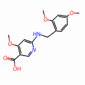 COc1ccc(CNc2cc(OC)c(C(=O)O)cn2)c(OC)c1